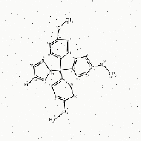 COC1=CC=C(C(c2ccc(OC)cc2)(c2ccc(OC)cc2)n2cc(Br)cn2)CC1